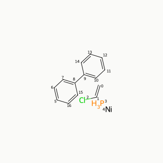 C=CCl.P.[Ni].c1ccc(-c2ccccc2)cc1